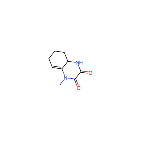 CN1C(=O)C(=O)NC2CCCC=C21